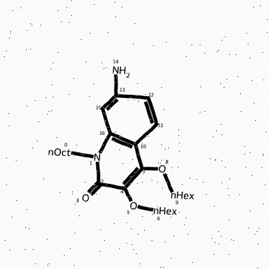 CCCCCCCCn1c(=O)c(OCCCCCC)c(OCCCCCC)c2ccc(N)cc21